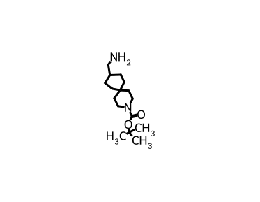 CC(C)(C)OC(=O)N1CCC2(CCC(CN)CC2)CC1